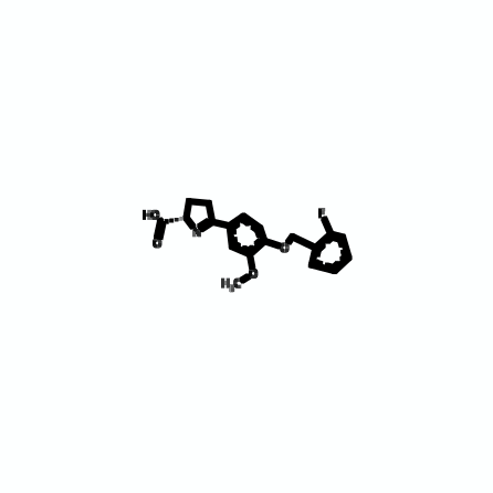 COc1cc(C2=N[C@H](C(=O)O)CC2)ccc1OCc1ccccc1F